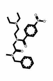 CCN(CC)CCN(CC(=O)N(C)Cc1ccccc1)C(=O)c1ccc([N+](=O)[O-])cc1